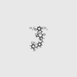 COc1ccc(C)c(CNC(=O)c2cn(Cc3ccc(Cn4cc(C)ccc4=O)cc3)nc2C2COC2)c1F